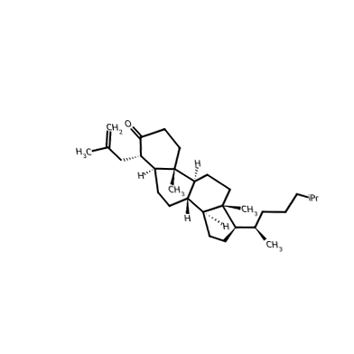 C=C(C)C[C@@H]1C(=O)CC[C@]2(C)[C@H]3CC[C@]4(C)[C@@H]([C@H](C)CCCC(C)C)CC[C@H]4[C@@H]3CC[C@@H]12